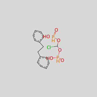 O=[PH](O)OC(Cl)O[PH](=O)O.c1ccc(CCc2ccccc2)cc1